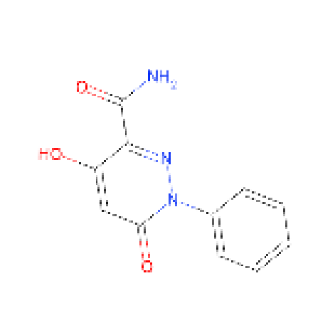 NC(=O)c1nn(-c2ccccc2)c(=O)cc1O